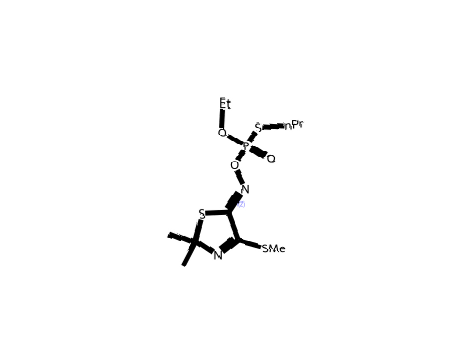 CCCSP(=O)(OCC)O/N=C1\SC(C)(C)N=C1SC